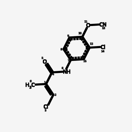 CC(=CCl)C(=O)Nc1ccc(OC#N)c(Cl)c1